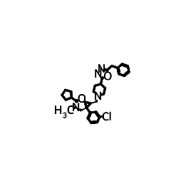 CN(C[C@@]1(c2cccc(Cl)c2)C[C@H]1CN1CCC(c2nnc(Cc3ccccc3)o2)CC1)C(=O)C1CCCC1